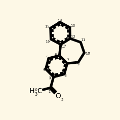 CC(=O)c1ccc2c(c1)CCCc1ccccc1-2